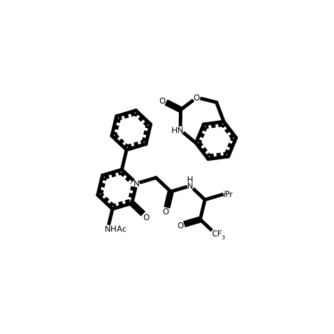 CC(=O)Nc1ccc(-c2ccccc2)n(CC(=O)NC(C(=O)C(F)(F)F)C(C)C)c1=O.O=C1Nc2cccc(c2)CO1